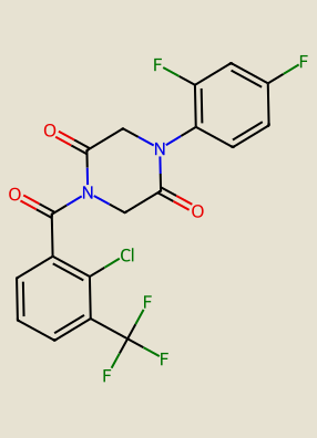 O=C1CN(c2ccc(F)cc2F)C(=O)CN1C(=O)c1cccc(C(F)(F)F)c1Cl